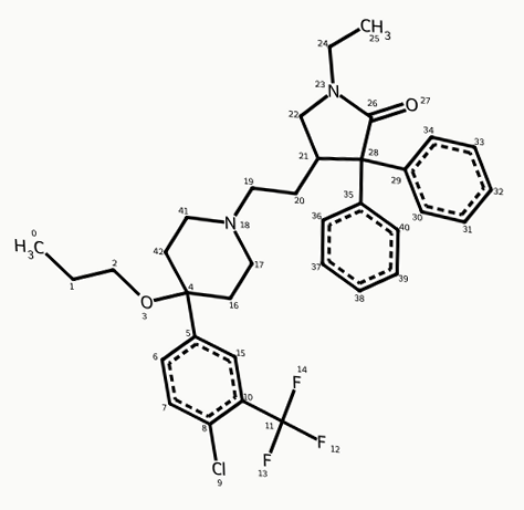 CCCOC1(c2ccc(Cl)c(C(F)(F)F)c2)CCN(CCC2CN(CC)C(=O)C2(c2ccccc2)c2ccccc2)CC1